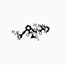 C[C@@H](NC(=O)c1c(N)nn2cccnc12)c1cc2cccc(C#Cc3cncn3C)c2c(=O)n1C1CC1